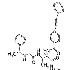 CC(NCC(=O)NC(C)[C@H](NC(=O)c1ccc(C#Cc2ccccc2)cc1)C(=O)NO)c1ccccc1